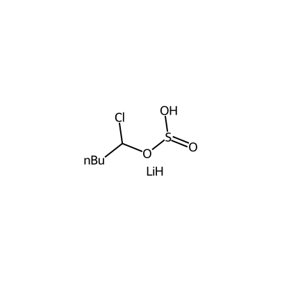 CCCCC(Cl)OS(=O)O.[LiH]